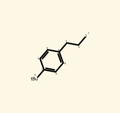 CC(C)(C)c1ccc(CCI)cc1